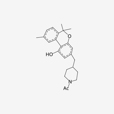 CC(=O)N1CCC(Cc2cc(O)c3c(c2)OC(C)(C)c2ccc(C)cc2-3)CC1